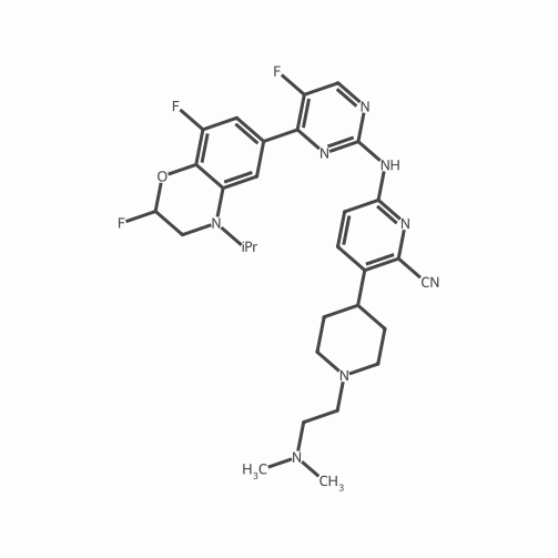 CC(C)N1CC(F)Oc2c(F)cc(-c3nc(Nc4ccc(C5CCN(CCN(C)C)CC5)c(C#N)n4)ncc3F)cc21